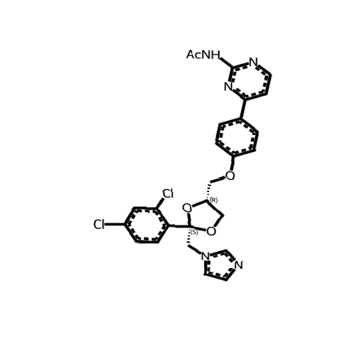 CC(=O)Nc1nccc(-c2ccc(OC[C@@H]3CO[C@@](Cn4ccnc4)(c4ccc(Cl)cc4Cl)O3)cc2)n1